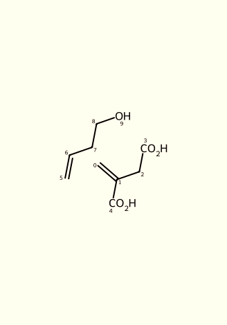 C=C(CC(=O)O)C(=O)O.C=CCCO